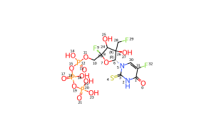 O=c1[nH]c(=S)n([C@@H]2O[C@](F)(COP(=O)(O)OP(=O)(O)OP(=O)(O)O)C(O)[C@]2(O)CF)cc1F